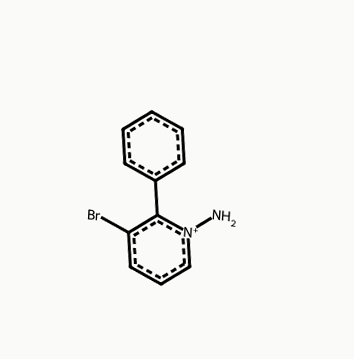 N[n+]1cccc(Br)c1-c1ccccc1